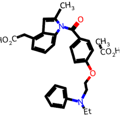 CC(=O)O.CCN(CCOc1ccc(C(=O)n2c(C)cc3c(CC(=O)O)cccc32)cc1)c1ccccc1